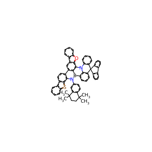 CC1(C)CCC(C)(C)c2cc(N3B4c5cccc6c5N(c5ccccc5C65c6ccccc6-c6ccccc65)c5c4c(cc4c5oc5ccccc54)-c4ccc5c(sc6ccccc65)c43)ccc21